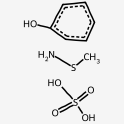 CSN.O=S(=O)(O)O.Oc1ccccc1